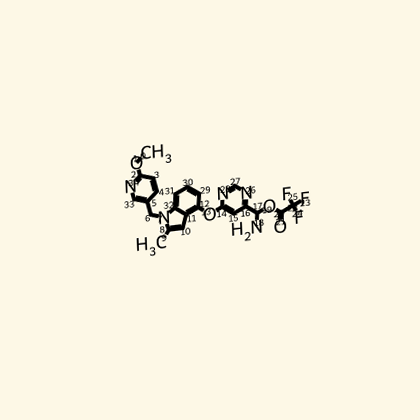 COc1ccc(Cn2c(C)cc3c(Oc4cc(C(N)OC(=O)C(F)(F)F)ncn4)cccc32)cn1